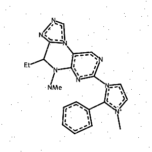 CCC1c2nncn2-c2cnc(-n3cc[n+](C)c3-c3ccccc3)nc2N1NC